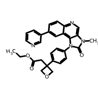 CCOC(=O)CC1(c2ccc(-n3c(=O)n(C)c4cnc5ccc(-c6cccnc6)cc5c43)cc2)COC1